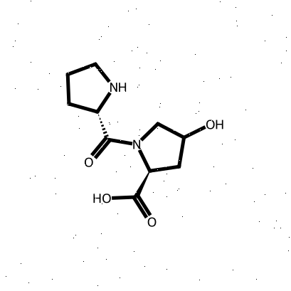 O=C(O)[C@@H]1CC(O)CN1C(=O)[C@@H]1CCCN1